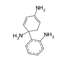 NC1=CCC(N)(c2ccccc2N)C=C1